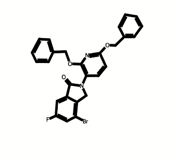 O=C1c2cc(F)cc(Br)c2CN1c1ccc(OCc2ccccc2)nc1OCc1ccccc1